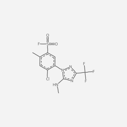 CNc1nc(C(F)(F)F)nn1-c1cc(S(=O)(=O)F)c(C)cc1Cl